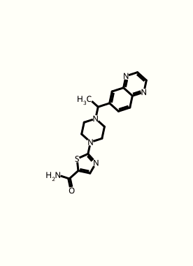 CC(c1ccc2nccnc2c1)N1CCN(c2ncc(C(N)=O)s2)CC1